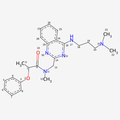 CC(Oc1ccccc1)C(=O)N(C)Cc1nc(NCCCN(C)C)c2ccccc2n1